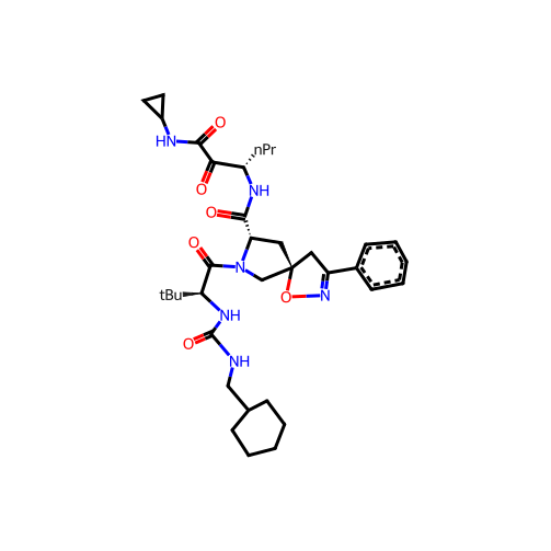 CCC[C@H](NC(=O)[C@@H]1C[C@]2(CC(c3ccccc3)=NO2)CN1C(=O)[C@@H](NC(=O)NCC1CCCCC1)C(C)(C)C)C(=O)C(=O)NC1CC1